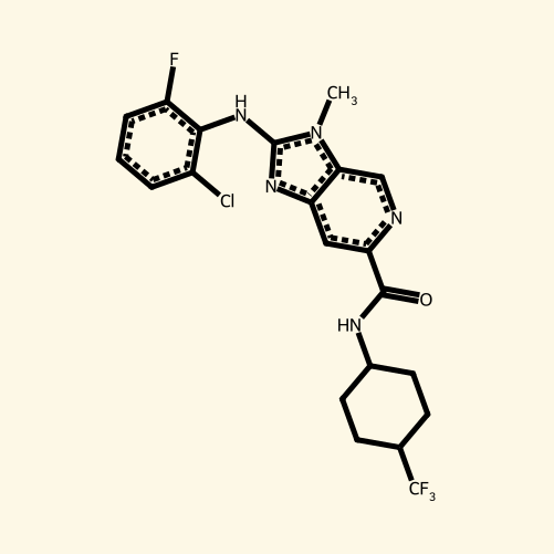 Cn1c(Nc2c(F)cccc2Cl)nc2cc(C(=O)NC3CCC(C(F)(F)F)CC3)ncc21